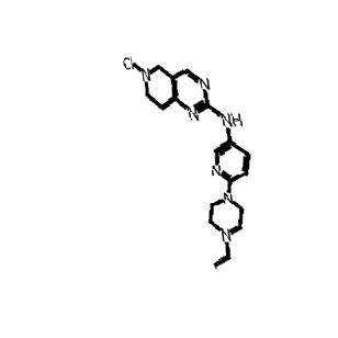 CCN1CCN(c2ccc(Nc3ncc4c(n3)CCN(Cl)C4)cn2)CC1